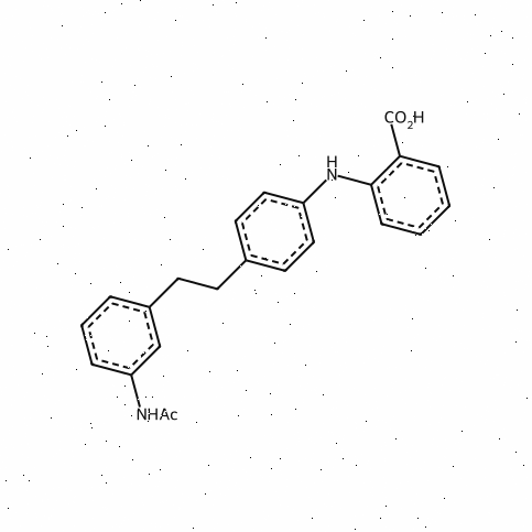 CC(=O)Nc1cccc(CCc2ccc(Nc3ccccc3C(=O)O)cc2)c1